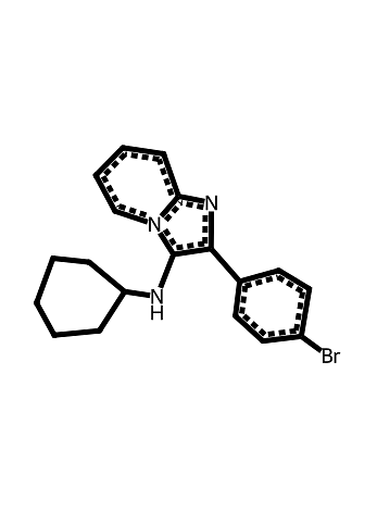 Brc1ccc(-c2nc3ccccn3c2NC2CCCCC2)cc1